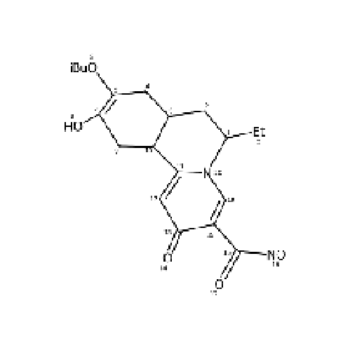 CCC1CC2CC(OCC(C)C)=C(O)CC2c2cc(=O)c(C(=O)N=O)cn21